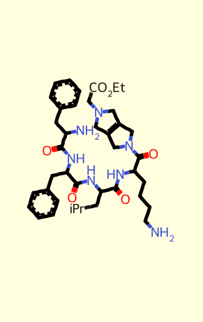 CCOC(=O)CN1CC2=C(C1)CN(C(=O)C(CCCCN)NC(=O)C(CC(C)C)NC(=O)C(Cc1ccccc1)NC(=O)C(N)Cc1ccccc1)C2